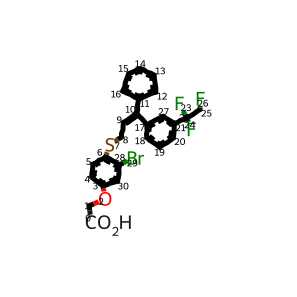 O=C(O)COc1ccc(SC/C=C(/c2ccccc2)c2cccc(C(F)(F)CF)c2)c(Br)c1